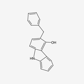 Oc1c(Cc2ccccc2)ccc2[nH]c3ccccc3c12